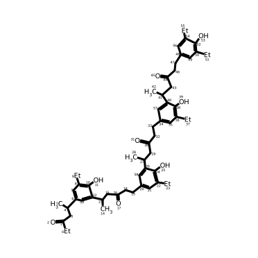 CCC(=O)CC(C)c1cc(CC)c(O)c(C(C)CC(=O)CCc2cc(CC)c(O)c(C(C)CC(=O)CCc3cc(CC)c(O)c(C(C)CC(=O)CCc4cc(CC)c(O)c(CC)c4)c3)c2)c1